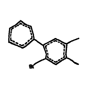 Cc1cc(Br)c(-c2ccccc2)cc1C